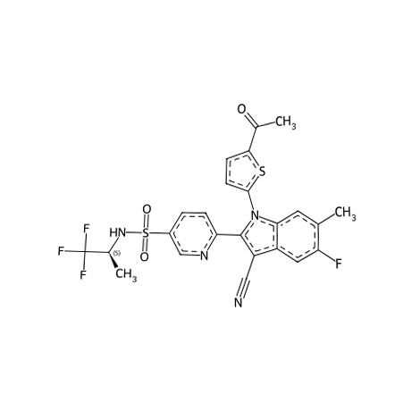 CC(=O)c1ccc(-n2c(-c3ccc(S(=O)(=O)N[C@@H](C)C(F)(F)F)cn3)c(C#N)c3cc(F)c(C)cc32)s1